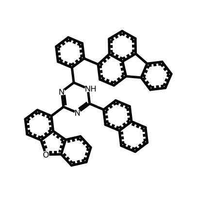 c1ccc2c(c1)-c1cccc3c(-c4ccccc4C4N=C(c5cccc6oc7ccccc7c56)N=C(c5ccc6ccccc6c5)N4)ccc-2c13